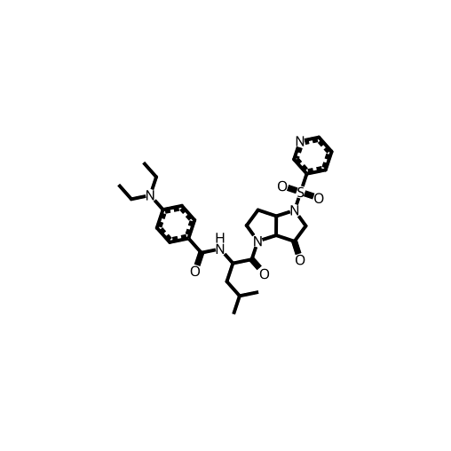 CCN(CC)c1ccc(C(=O)NC(CC(C)C)C(=O)N2CCC3C2C(=O)CN3S(=O)(=O)c2cccnc2)cc1